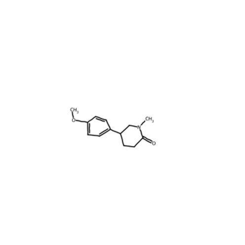 COc1ccc(C2CCC(=O)N(C)C2)cc1